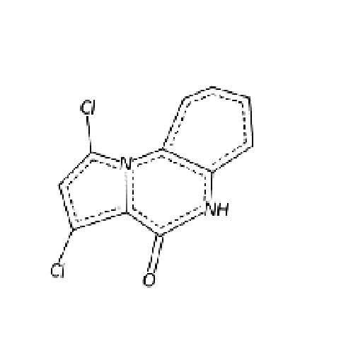 O=c1[nH]c2ccccc2n2c(Cl)cc(Cl)c12